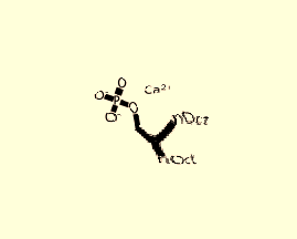 CCCCCCCCC(CCCCCCCC)COP(=O)([O-])[O-].[Ca+2]